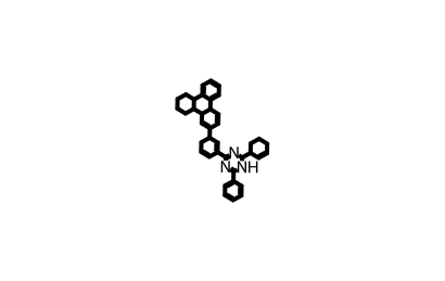 C1=CC(C2N=C(C3=CC(C4=CC5C(C=C4)c4ccccc4C4CCCCC45)CC=C3)N=C(c3ccccc3)N2)CCC1